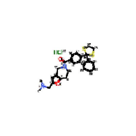 CN(C)Cc1cc2c(o1)CCN(C(=O)c1ccc(C3(c4ccccc4)SCCS3)cc1)C2.Cl